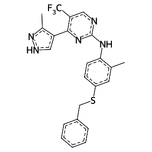 Cc1cc(SCc2ccccc2)ccc1Nc1ncc(C(F)(F)F)c(-c2c[nH]nc2C)n1